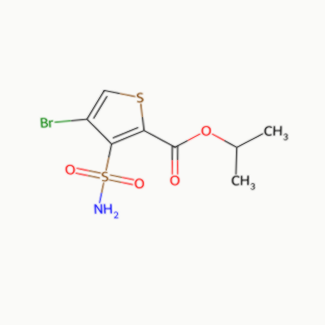 CC(C)OC(=O)c1scc(Br)c1S(N)(=O)=O